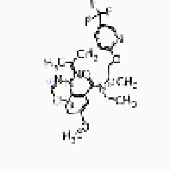 C/C=N\N(N=C(C)C)C1=C(C(=O)N(CC)[C@@H](C)COc2ccc(C(F)(F)F)cn2)C=C(OC)CC1